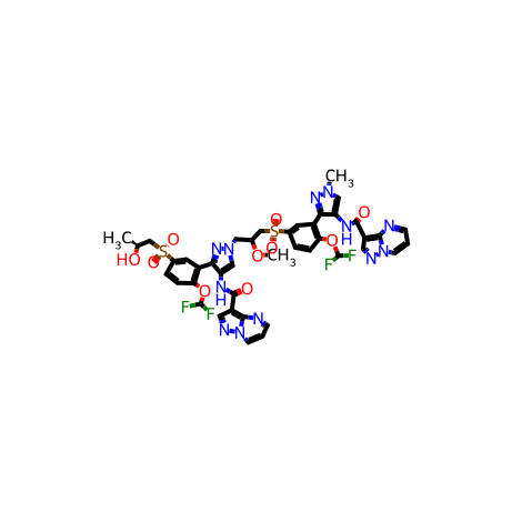 COC(Cn1cc(NC(=O)c2cnn3cccnc23)c(-c2cc(S(=O)(=O)C[C@H](C)O)ccc2OC(F)F)n1)CS(=O)(=O)c1ccc(OC(F)F)c(-c2nn(C)cc2NC(=O)c2cnn3cccnc23)c1